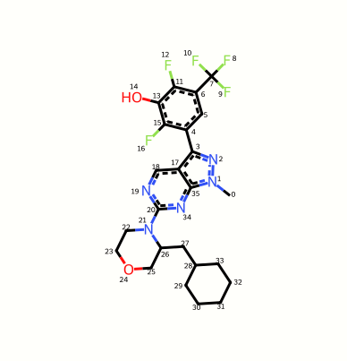 Cn1nc(-c2cc(C(F)(F)F)c(F)c(O)c2F)c2cnc(N3CCOCC3CC3CCCCC3)nc21